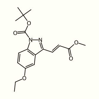 CCOc1ccc2c(c1)c(C=CC(=O)OC)nn2C(=O)OC(C)(C)C